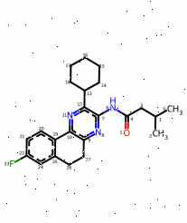 CC(C)CC(=O)Nc1nc2c(nc1C1CCCCC1)-c1ccc(F)cc1CC2